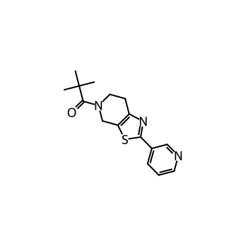 CC(C)(C)C(=O)N1CCc2nc(-c3cccnc3)sc2C1